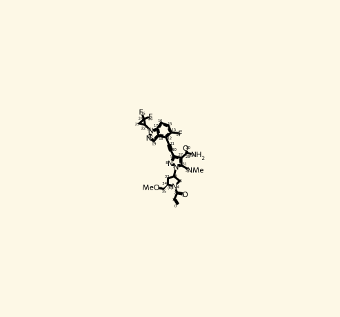 C=CC(=O)N1CC(n2nc(C#Cc3c(F)ccc4c3cnn4C3CC3(F)F)c(C(N)=O)c2NC)C[C@@H]1COC